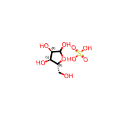 O=S(=O)(O)O.OC[C@H]1OC(O)[C@H](O)[C@@H]1O